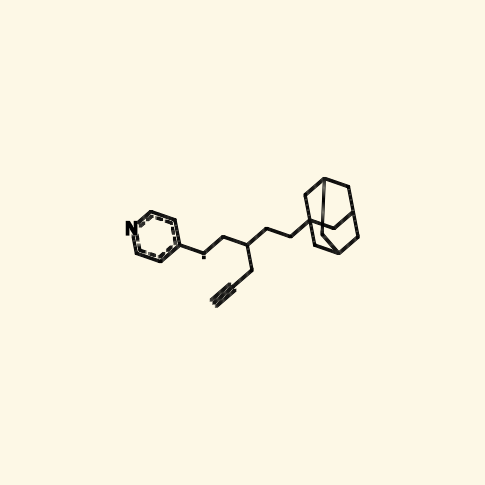 C#CCC(C[CH]c1ccncc1)CCC12CC3CC(CC(C3)C1)C2